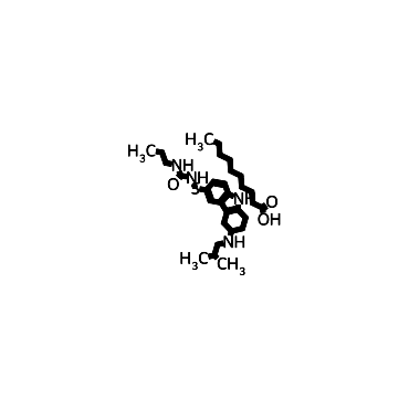 CCCCCCCCCC(=O)O.CCCNC(=O)NSc1ccc2[nH]c3c(c2c1)CC(NCC(C)C)CC3